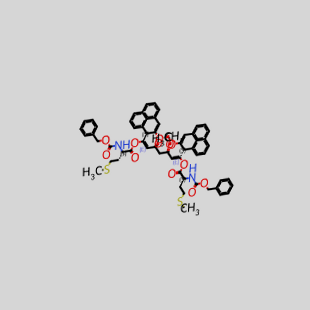 COC1=Cc2cccc3cccc(c23)[C@@H]1/C(=C\C(=O)CC(=O)/C=C(/OC(=O)[C@H](CCSC)NC(=O)OCc1ccccc1)[C@@H]1C(OC)=Cc2cccc3cccc1c23)OC(=O)[C@H](CCSC)NC(=O)OCc1ccccc1